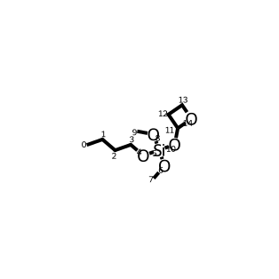 CCCCO[Si](OC)(OC)OC1CCO1